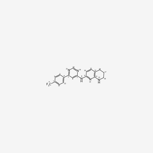 FC(F)(F)c1ccc(-c2cc(Nc3ccc4c(n3)NCCC4)ncn2)cc1